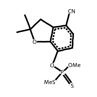 COP(=S)(Oc1ccc(C#N)c2c1OC(C)(C)C2)SC